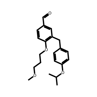 COCCCOc1ccc(C=O)cc1Cc1ccc(OC(C)C)cc1